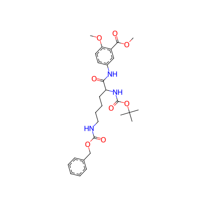 COC(=O)c1cc(NC(=O)C(CCCCNC(=O)OCc2ccccc2)NC(=O)OC(C)(C)C)ccc1OC